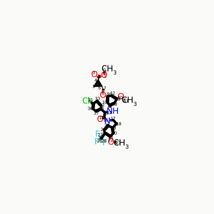 COC(=O)[C@@H]1C[C@H]1COc1cc(NC(C(=O)N2CCc3cc(OC)c(C(F)(F)F)cc32)c2ccc(Cl)cc2)cc(OC)c1